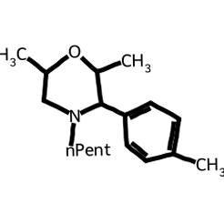 CCCCCN1CC(C)OC(C)C1c1ccc(C)cc1